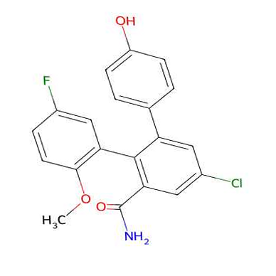 COc1ccc(F)cc1-c1c(C(N)=O)cc(Cl)cc1-c1ccc(O)cc1